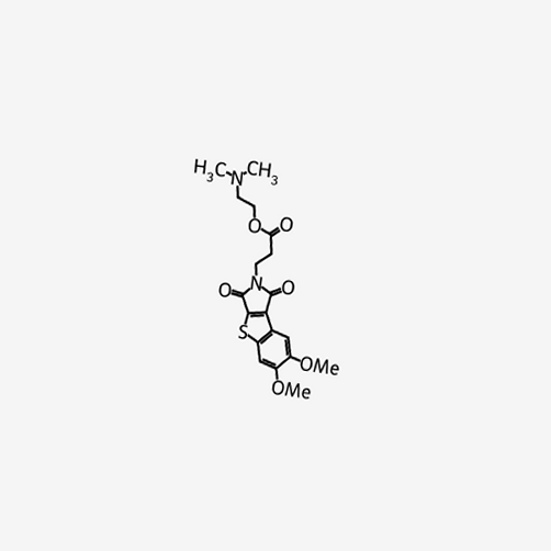 COc1cc2sc3c(c2cc1OC)C(=O)N(CCC(=O)OCCN(C)C)C3=O